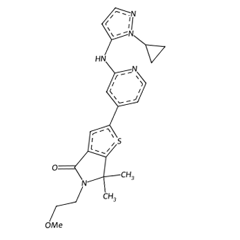 COCCN1C(=O)c2cc(-c3ccnc(Nc4ccnn4C4CC4)c3)sc2C1(C)C